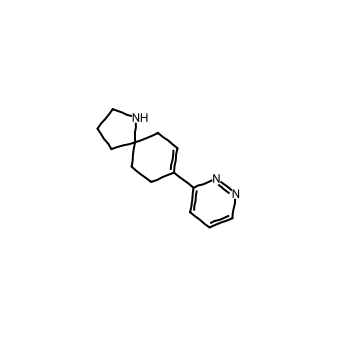 C1=C(c2cccnn2)CCC2(C1)CCCN2